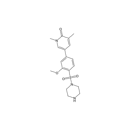 COc1cc(-c2cc(C)c(=O)n(C)c2)ccc1S(=O)(=O)N1CCNCC1